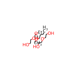 CCCCOC.CCOCC.OCCO.OCCOCCO